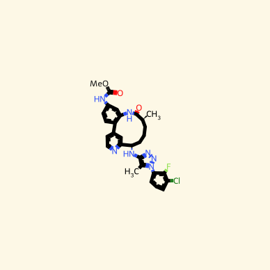 COC(=O)Nc1ccc2c(c1)NC(=O)[C@H](C)CCC[C@H](Nc1nnn(-c3cccc(Cl)c3F)c1C)c1cc-2ccn1